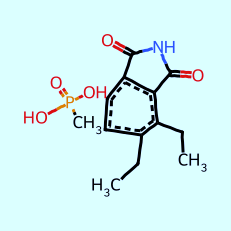 CCc1ccc2c(c1CC)C(=O)NC2=O.CP(=O)(O)O